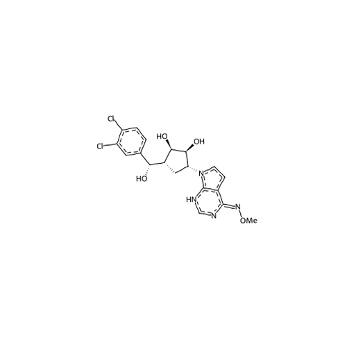 CON=c1nc[nH]c2c1ccn2[C@@H]1C[C@H]([C@H](O)c2ccc(Cl)c(Cl)c2)[C@@H](O)[C@H]1O